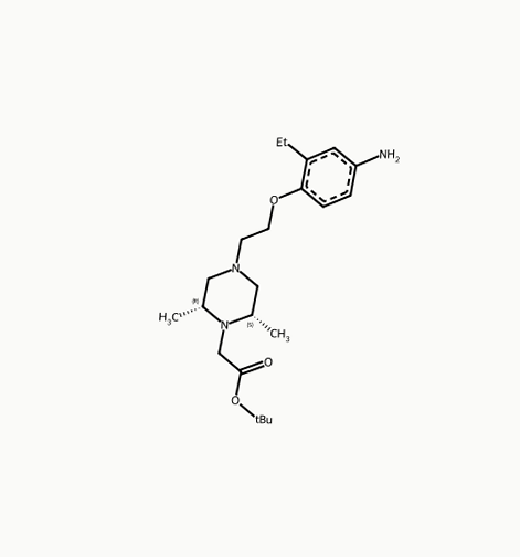 CCc1cc(N)ccc1OCCN1C[C@@H](C)N(CC(=O)OC(C)(C)C)[C@@H](C)C1